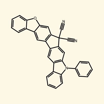 N#CC1(C#N)c2cc3oc4ccccc4c3cc2-c2cc3c4ccccc4n(-c4ccccc4)c3cc21